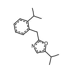 CC(C)c1cnc(Cc2ccccc2C(C)C)o1